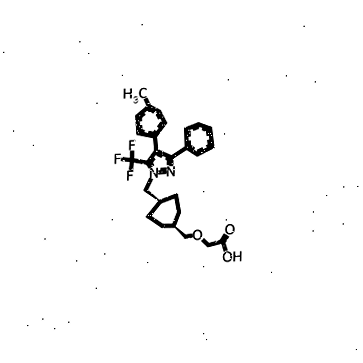 Cc1ccc(-c2c(-c3ccccc3)nn(C[C@H]3CC[C@@H](COCC(=O)O)CC3)c2C(F)(F)F)cc1